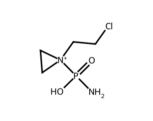 NP(=O)(O)[N+]1(CCCl)CC1